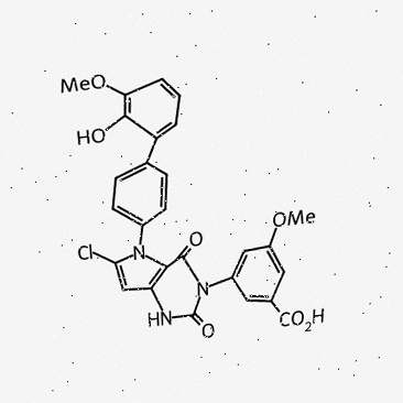 COc1cc(C(=O)O)cc(-n2c(=O)[nH]c3cc(Cl)n(-c4ccc(-c5cccc(OC)c5O)cc4)c3c2=O)c1